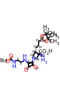 CC(C)(C)OC(=O)NCCNc1c(N2C[C@H](CCCB3OC(C)(C)C(C)(C)O3)[C@](N)(C(=O)O)C2)c(=O)c1=O